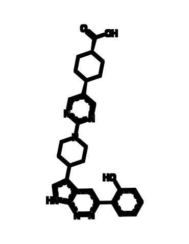 O=C(O)[C@H]1CC[C@@H](c2cnc(N3CCC(c4c[nH]c5nnc(-c6ccccc6O)cc45)CC3)nc2)CC1